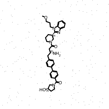 COCCCn1c([C@@H]2CCCN(C(=O)C[C@H](N)Cc3ccc(-c4ccc(C(=O)N5CC[C@@H](O)C5)cc4)cc3)C2)nc2ccccc21